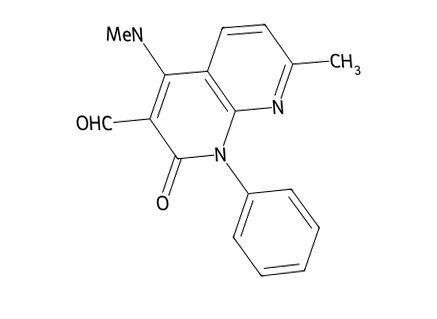 CNc1c(C=O)c(=O)n(-c2ccccc2)c2nc(C)ccc12